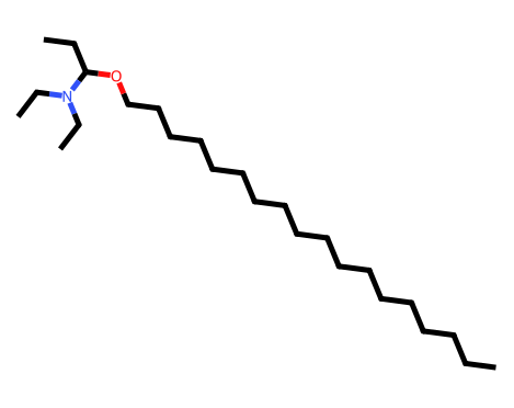 CCCCCCCCCCCCCCCCCCOC(CC)N(CC)CC